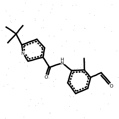 Cc1c(C=O)cccc1NC(=O)c1ccc(C(C)(C)C)nc1